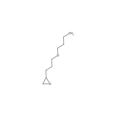 [CH2]CCCOCCCC1CO1